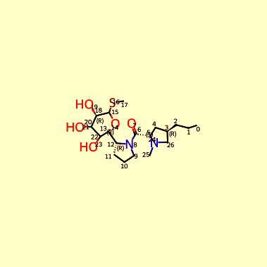 CCC[C@@H]1C[C@@H](C(=O)N2CCC[C@@H]2[C@H]2OC(SC)[C@H](O)C(O)C2O)N(C)C1